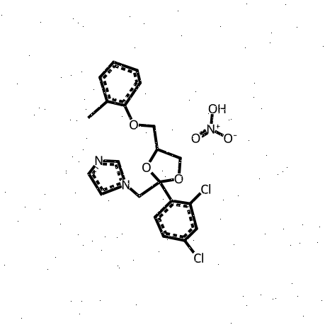 Cc1ccccc1OCC1COC(Cn2ccnc2)(c2ccc(Cl)cc2Cl)O1.O=[N+]([O-])O